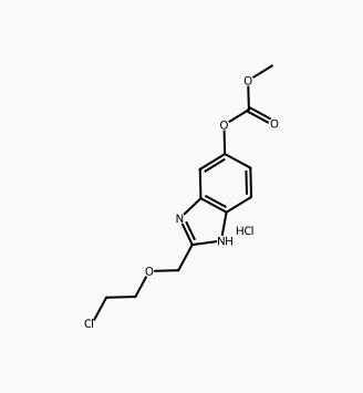 COC(=O)Oc1ccc2[nH]c(COCCCl)nc2c1.Cl